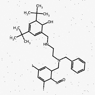 CC(C)(C)C1=CC(C(C)(C)C)C(O)C(CNCCN(Cc2ccccc2)CC2C=C(I)C=C(I)C2N=O)=C1